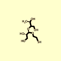 C[C@@H](O)C(CO)O[C@@H](OCCS)[C@@H](O)CO